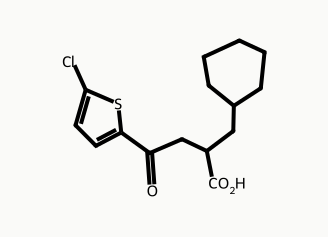 O=C(CC(CC1CCCCC1)C(=O)O)c1ccc(Cl)s1